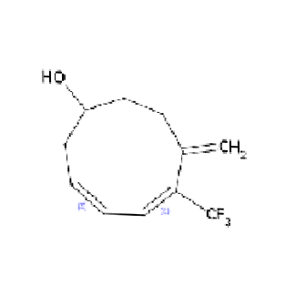 C=C1CCC(O)C/C=C\C=C/1C(F)(F)F